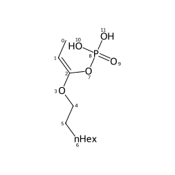 CC=C(OCCCCCCCC)OP(=O)(O)O